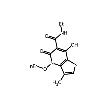 CCCOn1c(=O)c(C(=O)NCC)c(O)c2scc(C)c21